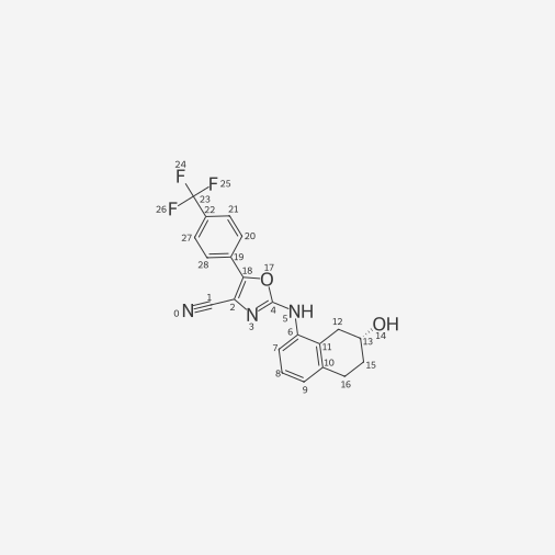 N#Cc1nc(Nc2cccc3c2C[C@H](O)CC3)oc1-c1ccc(C(F)(F)F)cc1